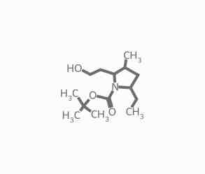 CCC1CC(C)C(CCO)N1C(=O)OC(C)(C)C